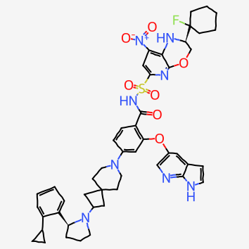 O=C(NS(=O)(=O)c1cc([N+](=O)[O-])c2c(n1)OC[C@H](C1(F)CCCCC1)N2)c1ccc(N2CCC3(CC2)CC(N2CCC[C@H]2c2ccccc2C2CC2)C3)cc1Oc1cnc2[nH]ccc2c1